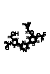 CC(=O)N1CC(c2cncc(-c3ccc(OC(F)F)c(OCC4CC4)c3)n2)C[C@@H]1CO